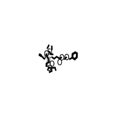 C#CC[C@@H](O[Si](CC)(CC)CC)[C@H](CCCC(=O)OCOCc1ccccc1)[C@@H](C=C)O[Si](CC)(CC)CC